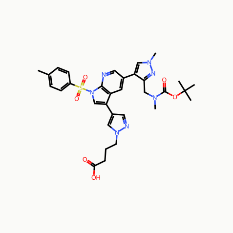 Cc1ccc(S(=O)(=O)n2cc(-c3cnn(CCCC(=O)O)c3)c3cc(-c4cn(C)nc4CN(C)C(=O)OC(C)(C)C)cnc32)cc1